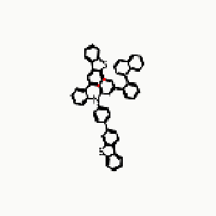 c1cc(-c2ccccc2-c2cccc3ccccc23)cc(N(c2ccc(-c3ccc4c(c3)sc3ccccc34)cc2)c2ccccc2-c2ccc3sc4ccccc4c3c2)c1